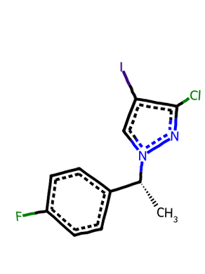 C[C@H](c1ccc(F)cc1)n1cc(I)c(Cl)n1